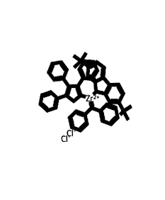 CC(C)(C)c1ccc2c(c1)[CH]([Zr+2]([C]1=C(c3ccccc3)C(c3ccccc3)=C(c3ccccc3)C1)=[C](c1ccccc1)c1ccccc1)c1cc(C(C)(C)C)ccc1-2.[Cl-].[Cl-]